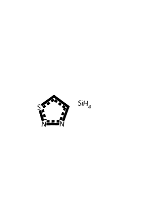 [SiH4].c1csnn1